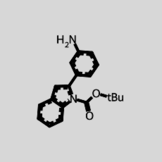 CC(C)(C)OC(=O)n1c(-c2cccc(N)c2)cc2ccccc21